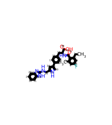 CCc1cc(F)cc(C)c1C(=O)NC(Cc1ccc(-c2c[nH]c(CNc3nc4ccccc4[nH]3)c2)cc1)C(=O)O